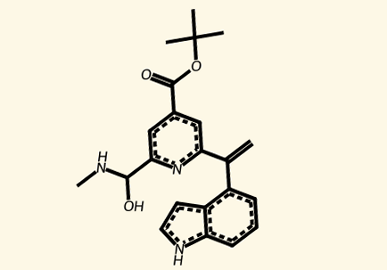 C=C(c1cc(C(=O)OC(C)(C)C)cc(C(O)NC)n1)c1cccc2[nH]ccc12